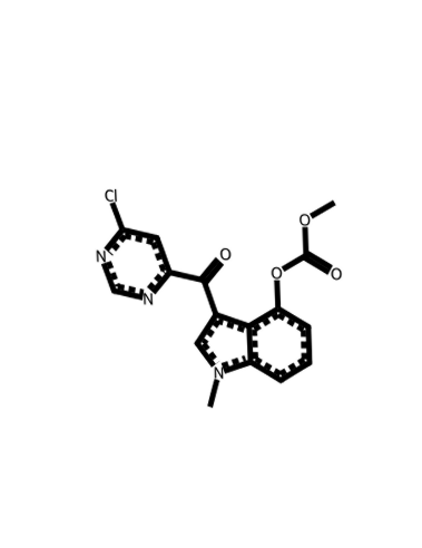 COC(=O)Oc1cccc2c1c(C(=O)c1cc(Cl)ncn1)cn2C